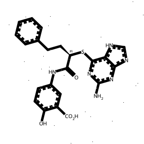 Nc1nc(S[C@H](CCc2ccccc2)C(=O)Nc2ccc(O)c(C(=O)O)c2)c2[nH]cnc2n1